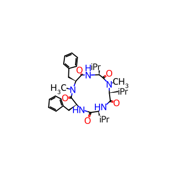 CC(C)[C@@H]1NC(=O)[C@H](C(C)C)N(C)C(=O)[C@H](C(C)C)NC(=O)[C@H](Cc2ccccc2)N(C)C(=O)[C@H](Cc2ccccc2)NC1=O